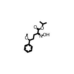 COC(CCC(=NO)C(=O)OC(C)C)c1ccccc1